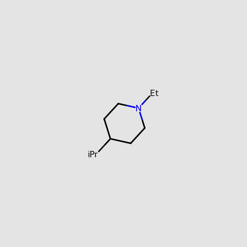 [CH2]CN1CCC(C(C)C)CC1